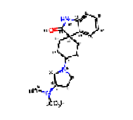 CCCN(C(=O)O)[C@@H]1CCN(C2CCC3(CC2)C(=O)Nc2ccccc23)C1